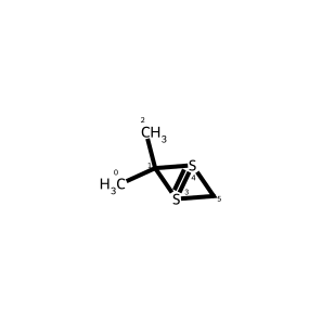 CC1(C)S2=S1C2